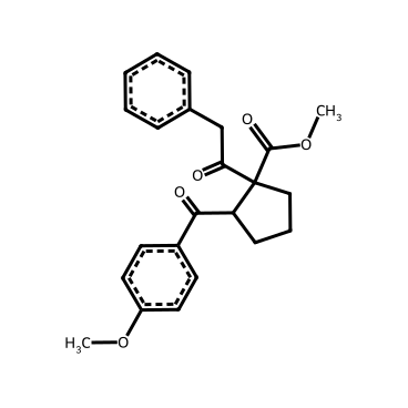 COC(=O)C1(C(=O)Cc2ccccc2)CCCC1C(=O)c1ccc(OC)cc1